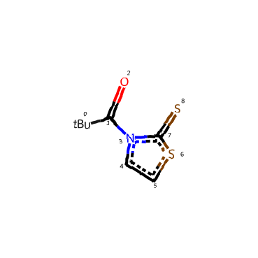 CC(C)(C)C(=O)n1ccsc1=S